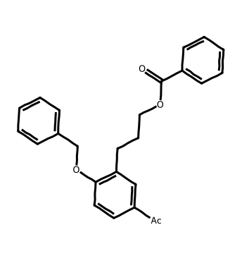 CC(=O)c1ccc(OCc2ccccc2)c(CCCOC(=O)c2ccccc2)c1